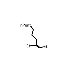 CC/[C]=C(/CC)CCCCCCCC